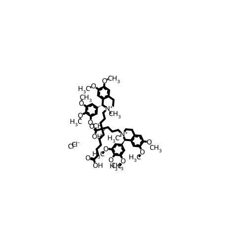 COc1cc2c(cc1OC)[C@@H](c1cc(OC)c(OC)c(OC)c1)[N@@+](C)(CCCC(CCCCCC(=O)O)(CCC[N@@+]1(C)CCc3cc(OC)c(OC)cc3[C@H]1c1cc(OC)c(OC)c(OC)c1)C(=O)O)CC2.[Cl-].[Cl-]